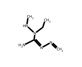 C=N/N=C(/N)N(CC)NC